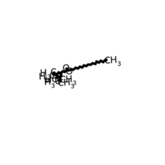 C=C(C)c1cc(CCC(=O)OCCCCCCCCCCCCCCCCCC)cc(C(C)(C)C)c1O